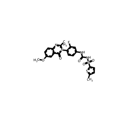 COc1ccc2nc(C)n(-c3ccc(NC(=O)NS(=O)(=O)c4ccc(C)s4)cc3F)c(=O)c2c1